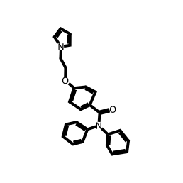 O=C(c1ccc(OCCn2cccc2)cc1)N(c1ccccc1)c1ccccc1